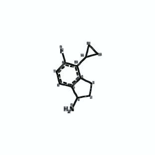 NC1CCc2c1ccc(F)c2C1CC1